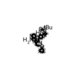 CC(C)(C)OC(=O)NC1(c2ccc(-n3c(-c4cccnc4N)nc4ccc(Oc5ccccc5)nc43)cc2)CCC1